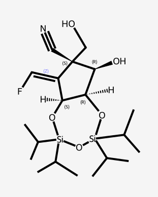 CC(C)[Si]1(C(C)C)O[C@H]2[C@@H](O[Si](C(C)C)(C(C)C)O1)/C(=C\F)[C@](C#N)(CO)[C@H]2O